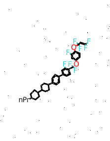 CCCC1CCC(C2CCC(c3ccc(-c4ccc(C(F)(F)Oc5ccc(OC(F)(F)C=C(F)F)c(F)c5)c(F)c4)cc3)CC2)CC1